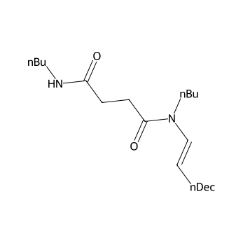 CCCCCCCCCCC=CN(CCCC)C(=O)CCC(=O)NCCCC